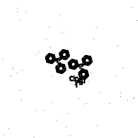 [Cl][Cu][Cl].[I].[Pd].c1ccc(P(c2ccccc2)c2ccccc2)cc1.c1ccc(P(c2ccccc2)c2ccccc2)cc1